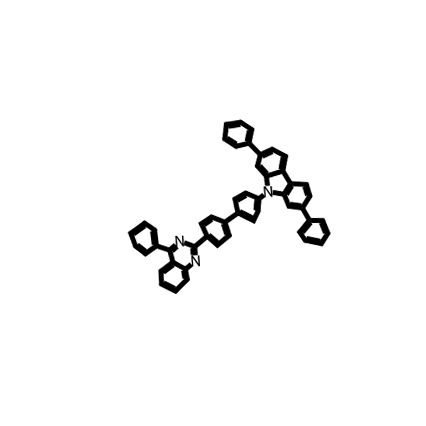 c1ccc(-c2ccc3c4ccc(-c5ccccc5)cc4n(-c4ccc(-c5ccc(-c6nc(-c7ccccc7)c7ccccc7n6)cc5)cc4)c3c2)cc1